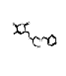 O=c1[nH]c(=O)n(COC(CO)COCc2ccccc2)cc1F